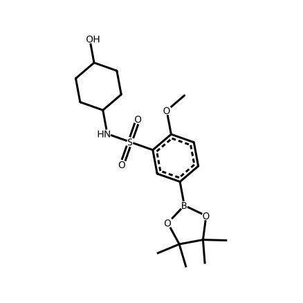 COc1ccc(B2OC(C)(C)C(C)(C)O2)cc1S(=O)(=O)NC1CCC(O)CC1